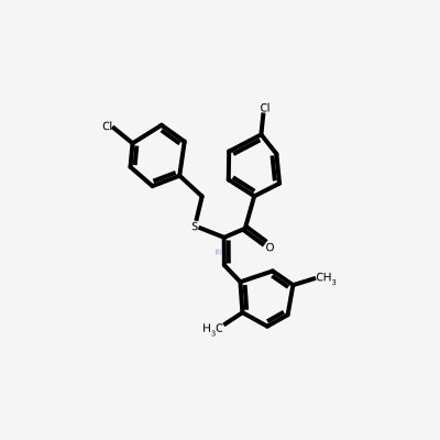 Cc1ccc(C)c(/C=C(/SCc2ccc(Cl)cc2)C(=O)c2ccc(Cl)cc2)c1